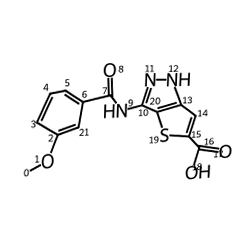 COc1cccc(C(=O)Nc2n[nH]c3cc(C(=O)O)sc23)c1